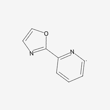 [c]1cccc(-c2ncco2)n1